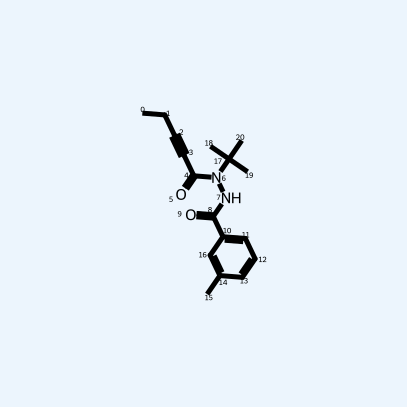 CCC#CC(=O)N(NC(=O)c1cccc(C)c1)C(C)(C)C